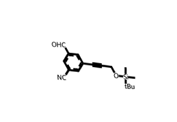 CC(C)(C)[Si](C)(C)OCC#Cc1cc(C#N)cc(C=O)c1